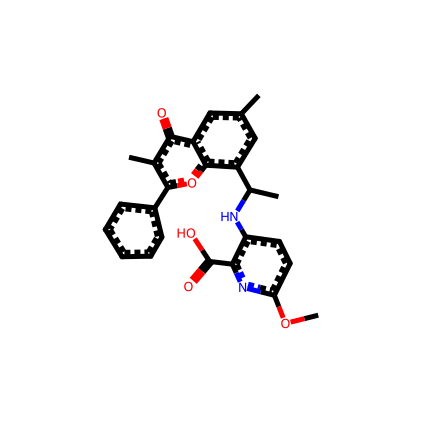 COc1ccc(NC(C)c2cc(C)cc3c(=O)c(C)c(-c4ccccc4)oc23)c(C(=O)O)n1